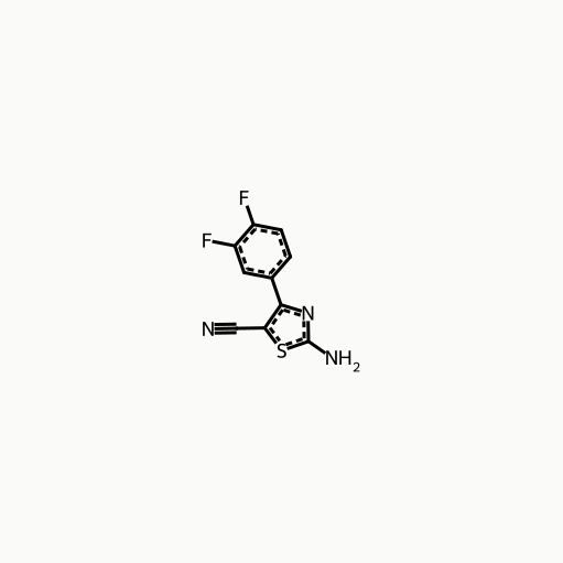 N#Cc1sc(N)nc1-c1ccc(F)c(F)c1